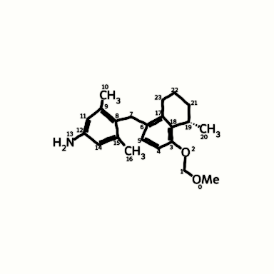 COCOc1ccc(Cc2c(C)cc(N)cc2C)c2c1[C@@H](C)CCC2